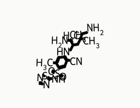 Cc1cc(NCC(CC(C)(C)CCN)C(C)N)c(C#N)cc1S(=O)(=O)Nc1ncns1